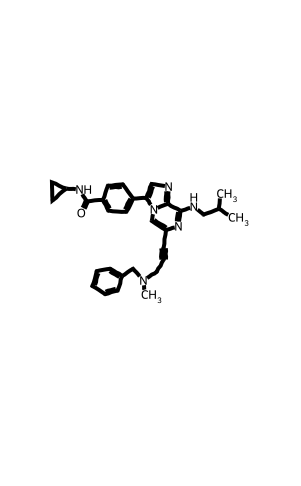 CC(C)CNc1nc(C#CCN(C)Cc2ccccc2)cn2c(-c3ccc(C(=O)NC4CC4)cc3)cnc12